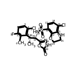 Cc1c(F)ccc(Cl)c1[C@@H](C)[C@H](NS(=O)(=O)c1ccc(Cl)c2c1OCCN2)c1n[nH]c(=O)o1